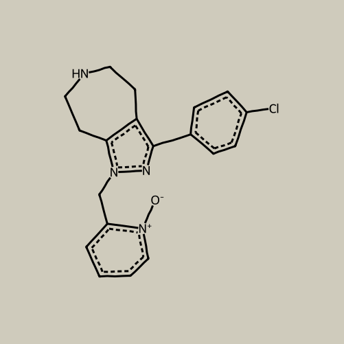 [O-][n+]1ccccc1Cn1nc(-c2ccc(Cl)cc2)c2c1CCNCC2